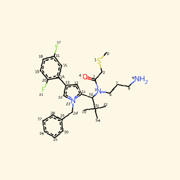 CSCC(=O)N(CCCN)C(c1cc(-c2cc(F)ccc2F)cn1Cc1ccccc1)C(C)(C)C